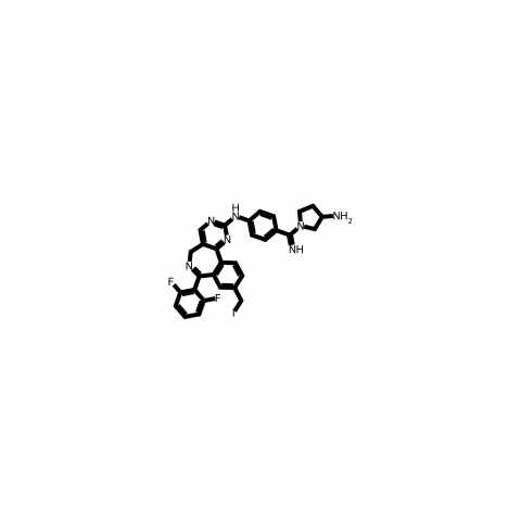 N=C(c1ccc(Nc2ncc3c(n2)-c2ccc(CI)cc2C(c2c(F)cccc2F)=NC3)cc1)N1CCC(N)C1